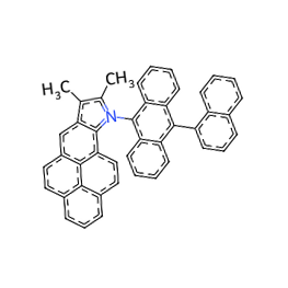 Cc1c(C)n(-c2c3ccccc3c(-c3cccc4ccccc34)c3ccccc23)c2c1cc1ccc3cccc4ccc2c1c34